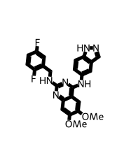 COc1cc2nc(NCc3cc(F)ccc3F)nc(Nc3ccc4[nH]ncc4c3)c2cc1OC